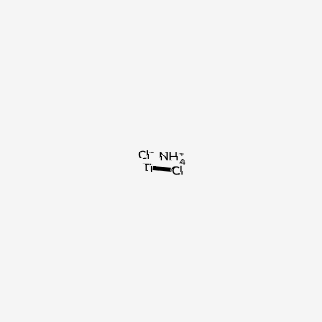 [Cl-].[Cl][Ti].[NH4+]